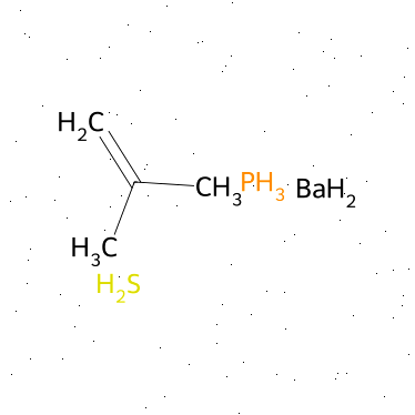 C=C(C)C.P.S.[BaH2]